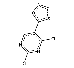 Clc1ncc(-c2cncs2)c(Cl)n1